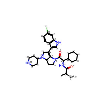 CNC(C)C(=O)NC(C(=O)N1CCC2C1=C(c1c[nH]c3cc(F)ccc13)CN2C1CCNCC1)C1CCCCC1